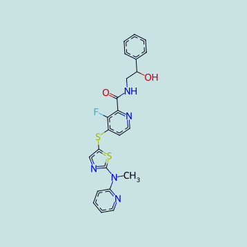 CN(c1ccccn1)c1ncc(Sc2ccnc(C(=O)NCC(O)c3ccccc3)c2F)s1